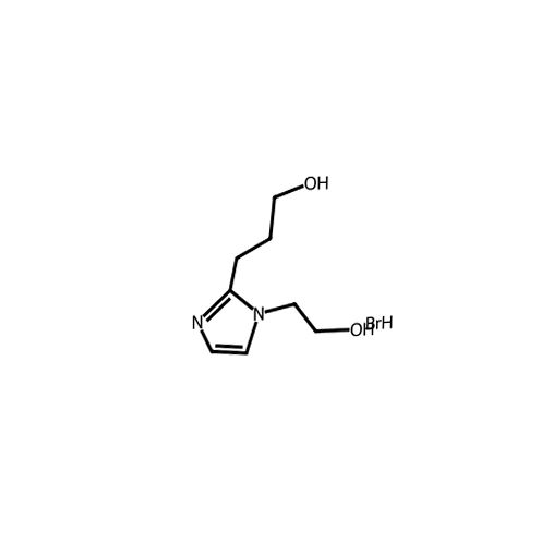 Br.OCCCc1nccn1CCO